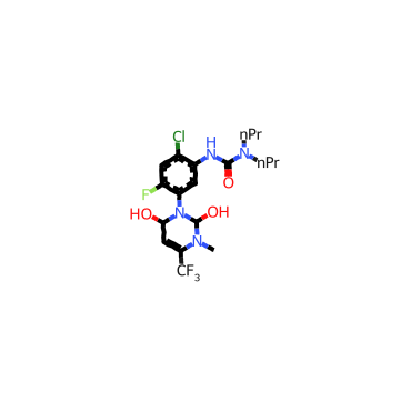 CCCN(CCC)C(=O)Nc1cc(N2C(O)C=C(C(F)(F)F)N(C)C2O)c(F)cc1Cl